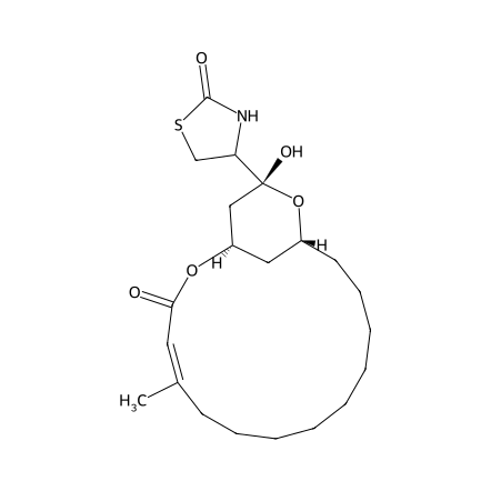 CC1=CC(=O)O[C@@H]2C[C@@H](CCCCCCCCC1)O[C@@](O)(C1CSC(=O)N1)C2